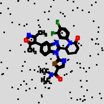 Cc1noc(C)c1-c1ccc2c(c1)nc(C1CCCC(=O)N1c1ccc(F)c(F)c1)n2-c1ncc(C(=O)N(C)C)s1